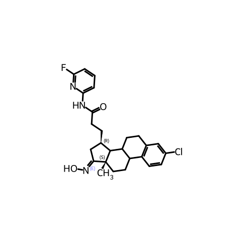 C[C@]12CCC3c4ccc(Cl)cc4CCC3C1[C@H](CCC(=O)Nc1cccc(F)n1)C/C2=N\O